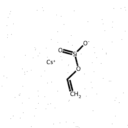 C=CO[Si](=O)[O-].[Cs+]